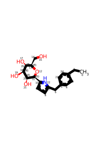 CCc1ccc(Cc2ccc([C@@H]3O[C@H](CO)[C@@H](O)[C@H](O)[C@H]3O)[nH]2)cc1